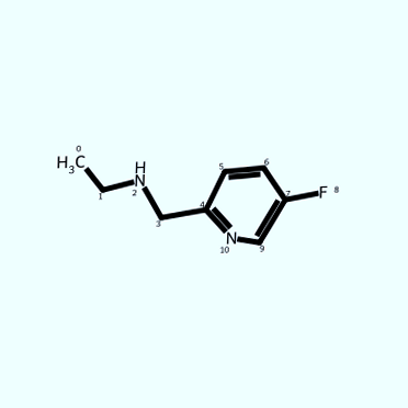 CCNCc1ccc(F)cn1